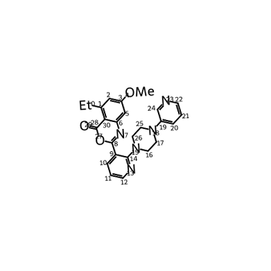 CCc1cc(OC)cc2nc(-c3cccnc3N3CCN(c4cccnc4)CC3)oc(=O)c12